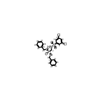 O=P(CNS(=O)(=O)c1cc(Cl)cc(Cl)c1)(OCc1ccccc1)OCc1ccccc1